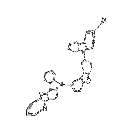 N#Cc1ccc2c(c1)c1ccccc1n2-c1ccc2oc3ccc(-n4c5ccccc5c5c6oc7cccnc7c6ccc54)cc3c2c1